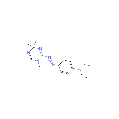 CCN(CC)c1ccc(/N=N/C2=NC(C)(C)N=CN2C)cc1